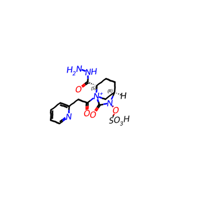 NNC(=O)[C@@H]1CC[C@@H]2C[N+]1(C(=O)Cc1ccccn1)C(=O)N2OS(=O)(=O)O